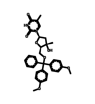 COc1ccc(C(OC[C@H]2O[C@@H](n3cc(C)c(=O)[nH]c3=O)C[C@]2(C)O)(c2ccccc2)c2ccc(OC)cc2)cc1